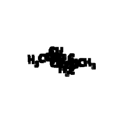 Cc1cc(C)c(OCC=CCOc2c(C)cc(C)cc2C)c(C)c1